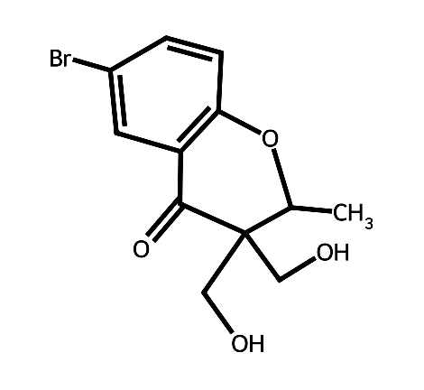 CC1Oc2ccc(Br)cc2C(=O)C1(CO)CO